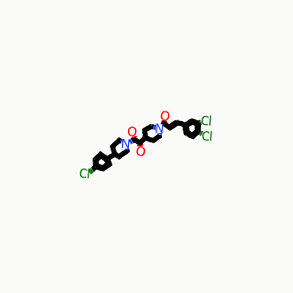 O=C(C(=O)N1CCC(c2ccc(Cl)cc2)CC1)C1CCN(C(=O)C=Cc2ccc(Cl)c(Cl)c2)CC1